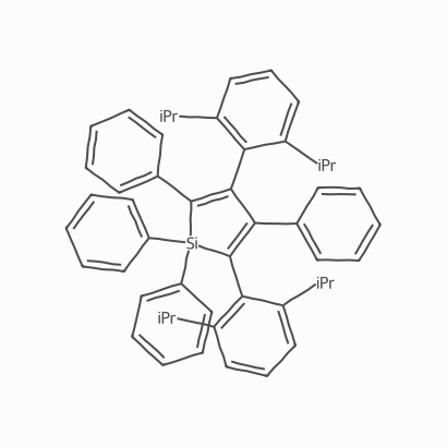 CC(C)c1cccc(C(C)C)c1C1=C(c2ccccc2)[Si](c2ccccc2)(c2ccccc2)C(c2c(C(C)C)cccc2C(C)C)=C1c1ccccc1